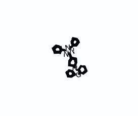 C1=CC2=C(CC1)N(C1C=CC(c3nc(-c4ccccc4)nc(-c4ccccc4)n3)=CC1)c1ccccc1O2